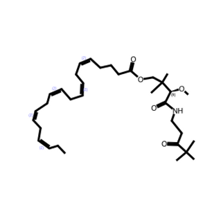 CC/C=C\C/C=C\C/C=C\C/C=C\C/C=C\CCCC(=O)OCC(C)(C)[C@@H](OC)C(=O)NCCC(=O)C(C)(C)C